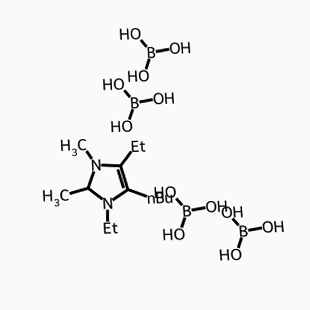 CCCCC1=C(CC)N(C)C(C)N1CC.OB(O)O.OB(O)O.OB(O)O.OB(O)O